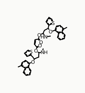 CNC(CC(Oc1ccc(C)c2ccccc12)c1cccs1)OC(=O)/C=C\C(=O)OC(CC(Oc1ccc(C)c2ccccc12)c1cccs1)NC